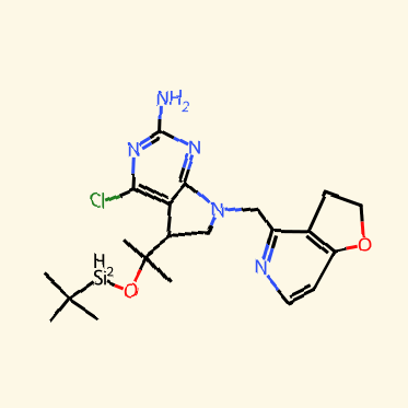 CC(C)(C)[SiH2]OC(C)(C)C1CN(Cc2nccc3c2CCO3)c2nc(N)nc(Cl)c21